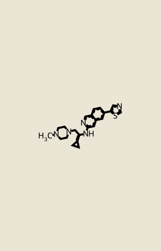 CN1CCN(CC(Nc2cc3cc(-c4cncs4)ccc3cn2)=C2CC2)CC1